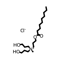 CCCCCCCCCC(=O)OCCC[N+](C)(CCCO)CCCO.[Cl-]